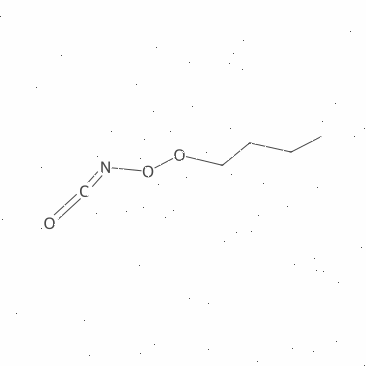 CCCCOON=C=O